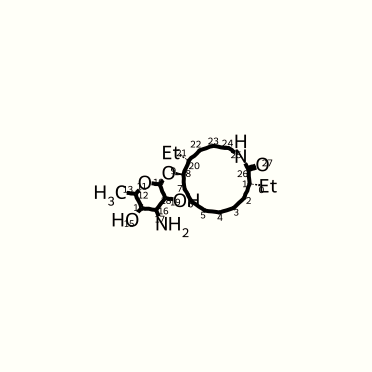 CC[C@@H]1CCCCCC[C@@H](OC2OC(C)C(O)C(N)C2O)[C@H](CC)CCCNC1=O